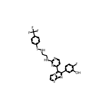 Oc1cc(-c2nc3sccn3c2-c2ccnc(NCCNSc3ccc(C(F)(F)F)cc3)n2)ccc1F